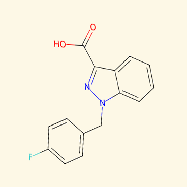 O=C(O)c1nn(Cc2ccc(F)cc2)c2ccccc12